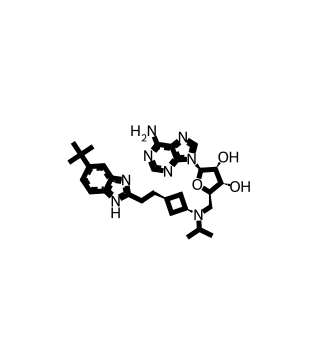 CC(C)N(C[C@H]1O[C@@H](n2cnc3c(N)ncnc32)[C@H](O)[C@@H]1O)[C@H]1C[C@H](CCc2nc3cc(C(C)(C)C)ccc3[nH]2)C1